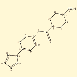 O=C(O)N1CCN(C(=O)Cc2ccc(-n3cnnn3)cn2)CC1